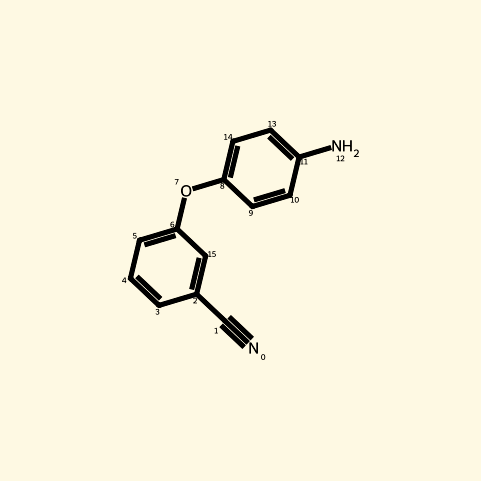 N#Cc1cccc(Oc2ccc(N)cc2)c1